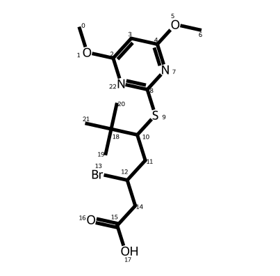 COc1cc(OC)nc(SC(CC(Br)CC(=O)O)C(C)(C)C)n1